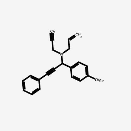 C#CCN(CC=C)C(C#Cc1ccccc1)c1ccc(OC)cc1